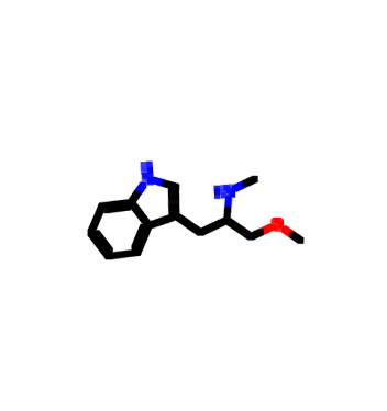 CNC(COC)Cc1c[nH]c2ccccc12